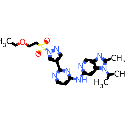 CCOCCS(=O)(=O)n1cc(-c2nccc(Nc3cc4c(cn3)nc(C)n4C(C)C)n2)cn1